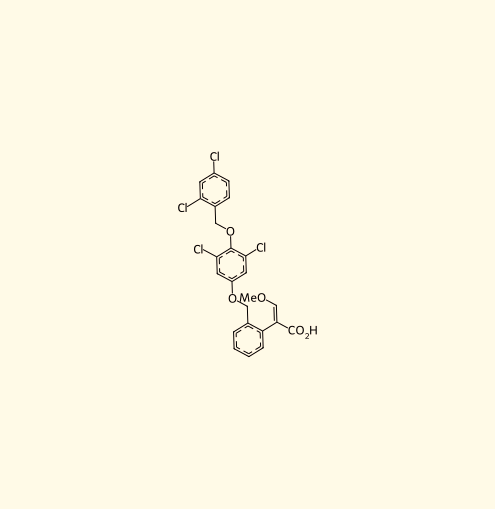 CO/C=C(/C(=O)O)c1ccccc1COc1cc(Cl)c(OCc2ccc(Cl)cc2Cl)c(Cl)c1